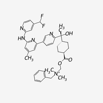 Cc1cc(Nc2cc(C(F)F)ccn2)nc(-c2ccc([C@](C)(O)[C@H]3CC[C@H](C(=O)OC[N+](C)(C)Cc4ccccc4)CC3)nc2)c1